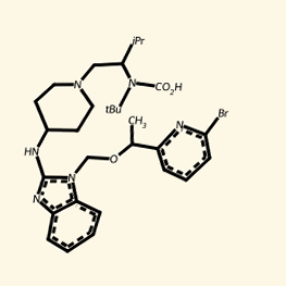 CC(OCn1c(NC2CCN(CC(C(C)C)N(C(=O)O)C(C)(C)C)CC2)nc2ccccc21)c1cccc(Br)n1